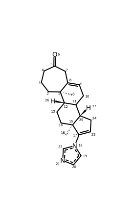 C[C@]12CCCC(=O)CC1=CCC1[C@@H]2CC[C@]2(C)C(n3ccnc3)=CC[C@@H]12